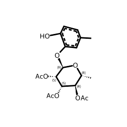 CC(=O)O[C@@H]1[C@H](OC(C)=O)[C@@H](Oc2cc(C)ccc2O)O[C@H](C)[C@H]1OC(C)=O